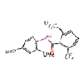 COc1ccc(PC(=O)c2c(C(F)(F)F)cccc2C(F)(F)F)c(OC)c1.[Li]